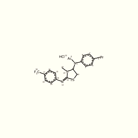 CC(=O)N(c1ccc(C(C)C)cc1)C1CSC(=Nc2ccc(C(F)(F)F)cc2)N1C.Cl